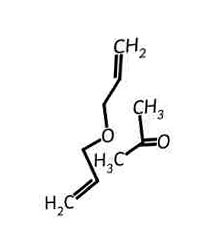 C=CCOCC=C.CC(C)=O